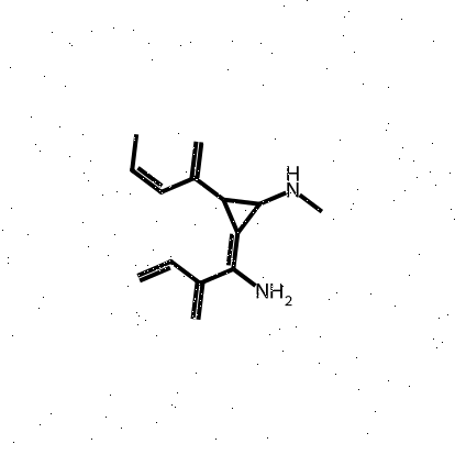 C=CC(=C)/C(N)=C1/C(NC)C1C(=C)/C=C\C